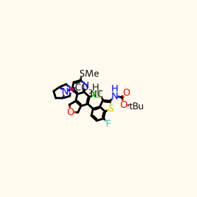 CSc1cc(N2C3CCC2CN(C(=O)O)C3)c2c3c(c(-c4ccc(F)c5sc(NC(=O)OC(C)(C)C)c(C#N)c45)c(Cl)c2n1)COC3